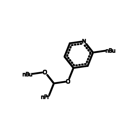 [CH2]CCCc1cc(OC(CCC)OCCCC)ccn1